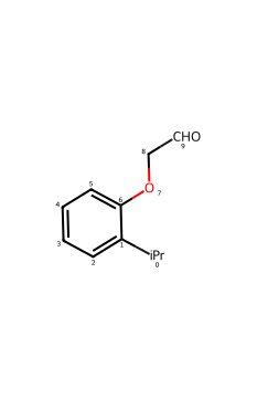 CC(C)c1ccccc1OCC=O